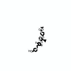 CC(C)OC(=O)N1CCC(Oc2ncnc(Oc3cc(F)c(CCN4CCC(CO)CC4)cc3F)c2C2CC2)CC1